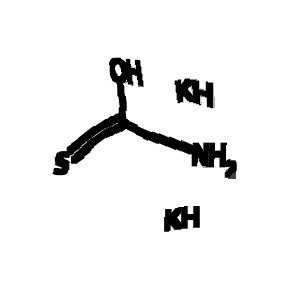 NC(O)=S.[KH].[KH]